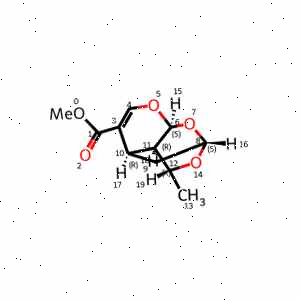 COC(=O)C1=CO[C@H]2O[C@H]3C[C@@H]1[C@@H]2[C@@H](C)O3